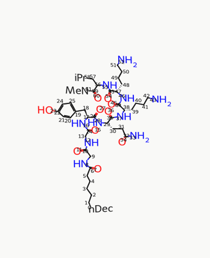 CCCCCCCCCCCCCCCC(=O)NCC(=O)NCC(=O)N[C@@H](Cc1ccc(O)cc1)C(=O)N[C@@H](CCC(N)=O)C(=O)N[C@@H](CCCCN)C(=O)N[C@@H](CCCCN)C(=O)NC(CC(C)C)C(=O)NC